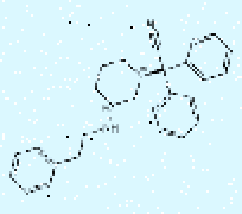 N#CC(c1ccccc1)(c1ccccc1)[C@@H]1CCC[C@@H](NCCc2ccccc2)C1